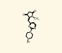 CC(C)N1CCN(c2nccc(/C=C3/C(=O)CC(=O)N3C)n2)CC1